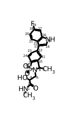 CNC(=O)C(O)CN1C(C)c2cc(-c3c[nH]c4cc(F)ccc34)ccc2S1(=O)=O